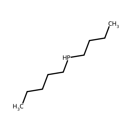 CCCCCPCCCC